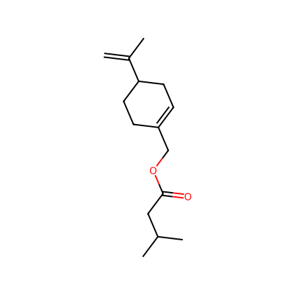 C=C(C)C1CC=C(COC(=O)CC(C)C)CC1